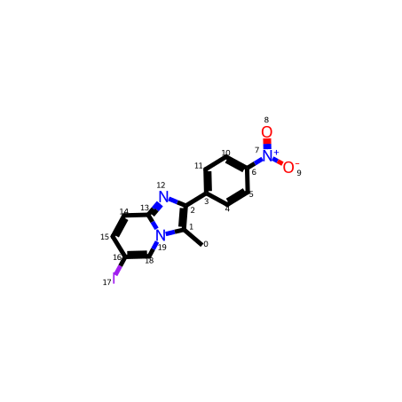 Cc1c(-c2ccc([N+](=O)[O-])cc2)nc2ccc(I)cn12